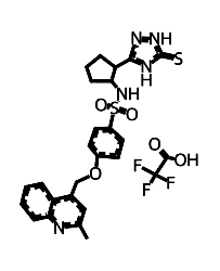 Cc1cc(COc2ccc(S(=O)(=O)NC3CCCC3c3n[nH]c(=S)[nH]3)cc2)c2ccccc2n1.O=C(O)C(F)(F)F